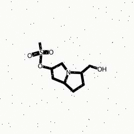 CS(=O)(=O)OC1CC2CCC(CO)N2C1